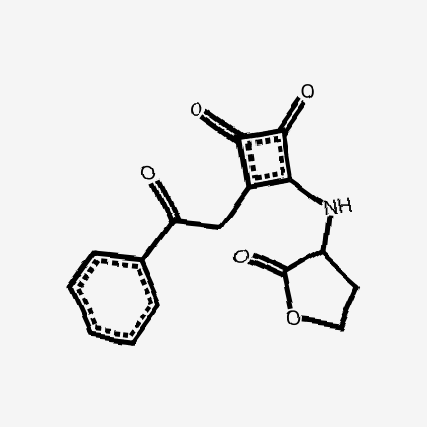 O=C(Cc1c(NC2CCOC2=O)c(=O)c1=O)c1ccccc1